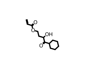 C=CC(=O)OCCC(O)C(=O)C1CCCCC1